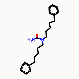 NC(=O)N(CCCCCc1ccccc1)CCCCCc1ccccc1